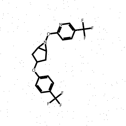 FC(F)(F)c1ccc(OC2CC3C(C2)N3Oc2ccc(C(F)(F)F)cn2)cc1